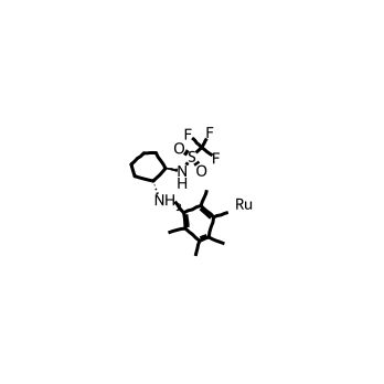 Cc1c(C)c(C)c(C)c(C)c1C.N[C@@H]1CCCC[C@H]1NS(=O)(=O)C(F)(F)F.[Ru]